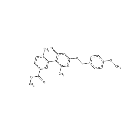 COC(=O)c1ccc(C)c(-n2c(C)nc(OCc3ccc(OC)cc3)cc2=O)c1